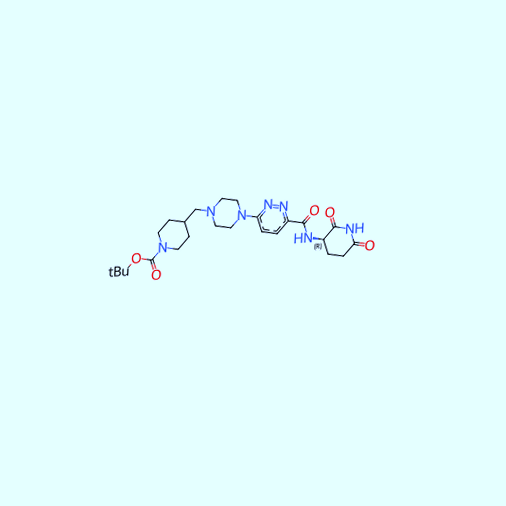 CC(C)(C)OC(=O)N1CCC(CN2CCN(c3ccc(C(=O)N[C@@H]4CCC(=O)NC4=O)nn3)CC2)CC1